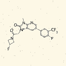 Cn1c(=O)n(CC(=O)N2CC(F)C2)c2cc(-c3ccc(F)c(C(F)(F)F)c3)cnc21